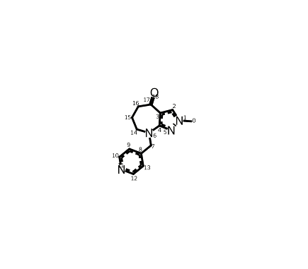 Cn1cc2c(n1)N(Cc1ccncc1)CCCC2=O